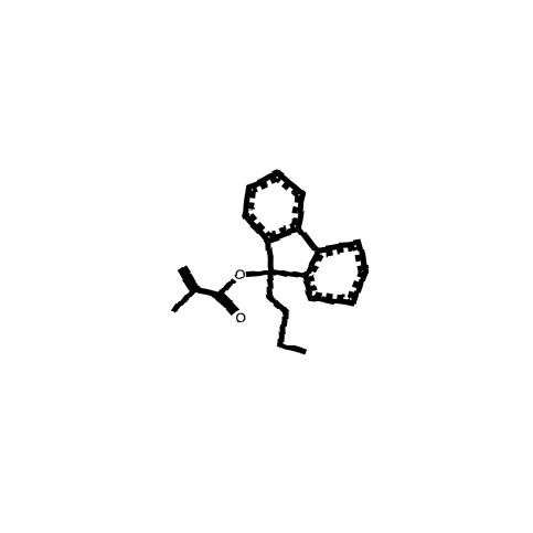 C=C(C)C(=O)OC1(CCCC)c2ccccc2-c2ccccc21